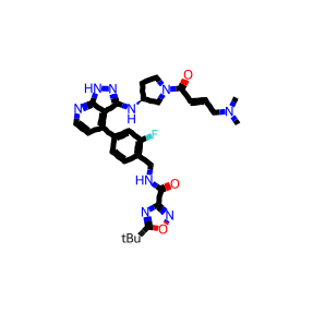 CN(C)C/C=C/C(=O)N1CC[C@@H](Nc2n[nH]c3nccc(-c4ccc(CNC(=O)c5noc(C(C)(C)C)n5)c(F)c4)c23)C1